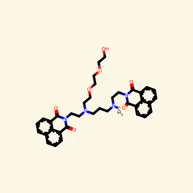 CN(CCCN(CCOCCOCCO)CCN1C(=O)c2cccc3cccc(c23)C1=O)CCN1C(=O)c2cccc3cccc(c23)C1=O